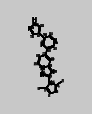 Cc1ccc(C)n1-c1nc2cc(-c3cncc(-c4cn[nH]c4)n3)ccn2n1